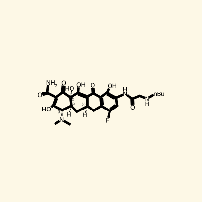 CCCCNCC(=O)Nc1cc(F)c2c(c1O)C(=O)C1=C(O)[C@]3(O)C(=O)C(C(N)=O)=C(O)[C@@H](N(C)C)[C@@H]3C[C@@H]1C2